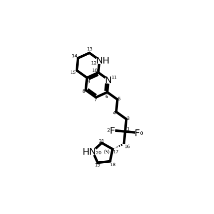 FC(F)(CCCc1ccc2c(n1)NCCC2)C[C@@H]1CCNC1